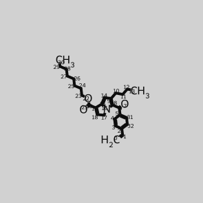 C=Cc1ccc(C(=O)c2c(CCCC)cc3n2CC=C3C(=O)OCCCCCCCC)cc1